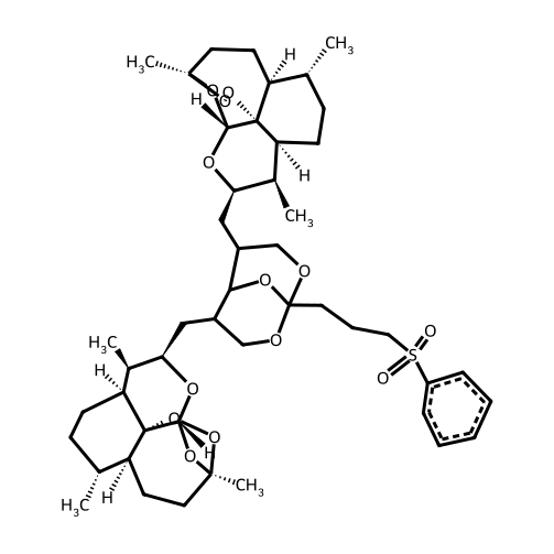 C[C@H]1[C@@H](CC2COC3(CCCS(=O)(=O)c4ccccc4)OCC(C[C@H]4O[C@@H]5O[C@]6(C)CC[C@H]7[C@H](C)CC[C@@H]([C@H]4C)[C@@]57OO6)C2O3)O[C@@H]2O[C@]3(C)CC[C@H]4[C@H](C)CC[C@@H]1[C@@]24OO3